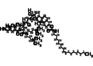 CCCCCCCC/C=C\CCCCCCCCNC(=O)O[C@@H]1CC[C@@]2(C)C(CCC3C2CC[C@@]2(C)C3CC[C@@H]2[C@H](C)CCC(=O)N[C@H]2C[C@@H](C(=O)N(CCCN(C)C)CCCN(C)C)N(C(=O)C(Cc3c[nH]cn3)N(C)C)C2)C1